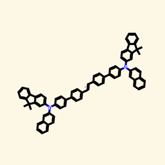 CC1(C)c2ccccc2-c2ccc(N(c3ccc(-c4ccc(/C=C/c5ccc(-c6ccc(N(c7ccc8c(c7)C(C)(C)c7ccccc7-8)c7ccc8ccccc8c7)cc6)cc5)cc4)cc3)c3ccc4ccccc4c3)cc21